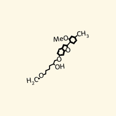 C=COCCCCC(O)COc1ccc2cc(-c3ccc(C)cc3OC)oc2c1